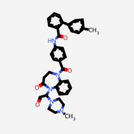 Cc1ccc(-c2ccccc2C(=O)Nc2ccc(C(=O)N3CCC(=O)N(C(C=O)N4CCN(C)CC4)c4ccccc43)cc2)cc1